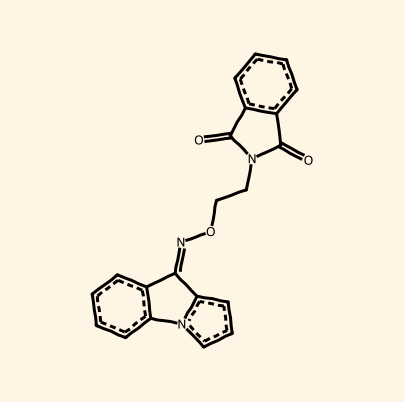 O=C1c2ccccc2C(=O)N1CCON=C1c2ccccc2-n2cccc21